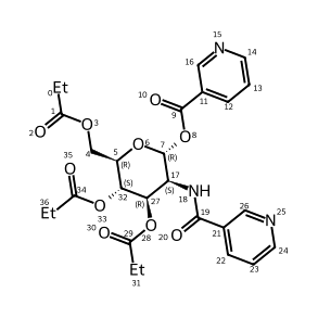 CCC(=O)OC[C@H]1O[C@H](OC(=O)c2cccnc2)[C@@H](NC(=O)c2cccnc2)[C@@H](OC(=O)CC)[C@@H]1OC(=O)CC